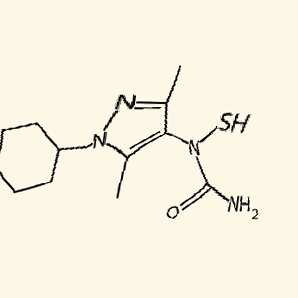 Cc1nn(C2CCCCC2)c(C)c1N(S)C(N)=O